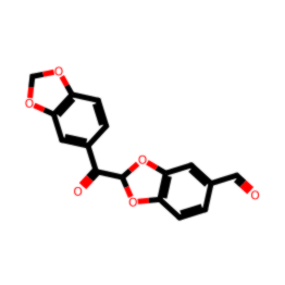 O=Cc1ccc2c(c1)OC(C(=O)c1ccc3c(c1)OCO3)O2